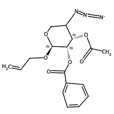 C=CCO[C@H]1OCC(N=[N+]=[N-])[C@H](OC(C)=O)[C@@H]1OC(=O)c1ccccc1